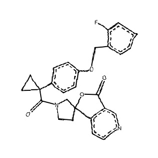 O=C1OC2(CCN(C(=O)C3(c4ccc(OCc5ccccc5F)cc4)CC3)C2)c2ccncc21